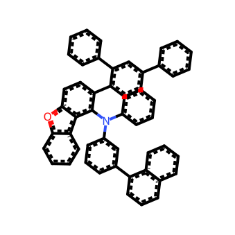 c1ccc(-c2ccc(-c3ccc4oc5ccccc5c4c3N(c3ccccc3)c3cccc(-c4cccc5ccccc45)c3)c(-c3ccccc3)c2)cc1